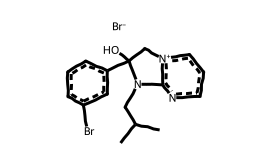 CC(C)CN1c2nccc[n+]2CC1(O)c1cccc(Br)c1.[Br-]